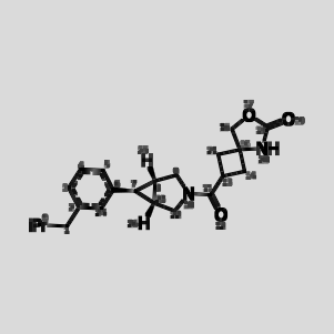 CC(C)Cc1cccc([C@H]2[C@@H]3CN(C(=O)C4CC5(COC(=O)N5)C4)C[C@@H]32)c1